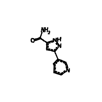 NC(=O)c1cc(-c2cccnc2)n[nH]1